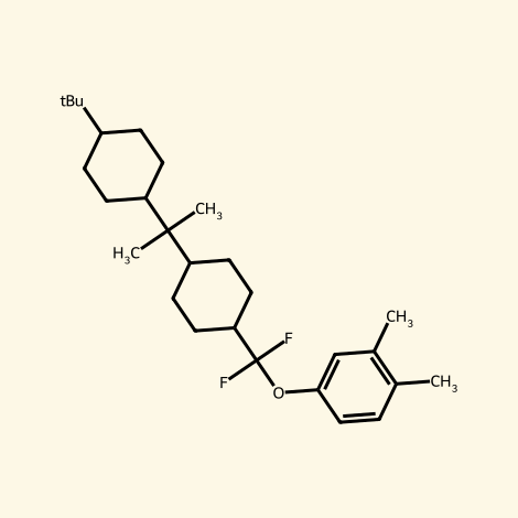 Cc1ccc(OC(F)(F)C2CCC(C(C)(C)C3CCC(C(C)(C)C)CC3)CC2)cc1C